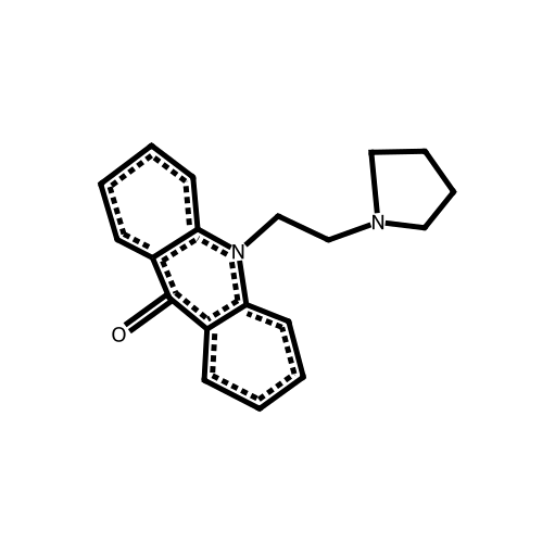 O=c1c2ccccc2n(CCN2CCCC2)c2ccccc12